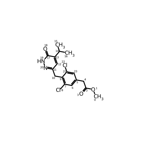 COC(=O)Cc1cc(Cl)c(Cc2cc(C(C)C)c(=O)[nH]n2)c(Cl)c1